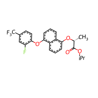 CC(C)OC(=O)[C@@H](C)Oc1cccc2c(Oc3ccc(C(F)(F)F)cc3F)cccc12